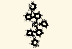 c1ccc(-n2c(-c3cccc4c3c3ccccc3n4-c3cccnc3)nnc2-c2cccc3c2c2ccccc2n3-c2cccnc2)cc1